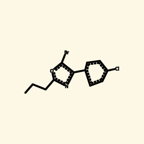 CCCc1nc(-c2ccc(Cl)cc2)c(Br)o1